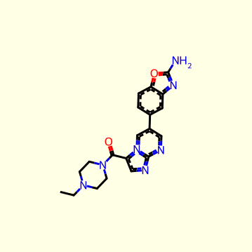 CCN1CCN(C(=O)c2cnc3ncc(-c4ccc5oc(N)nc5c4)cn23)CC1